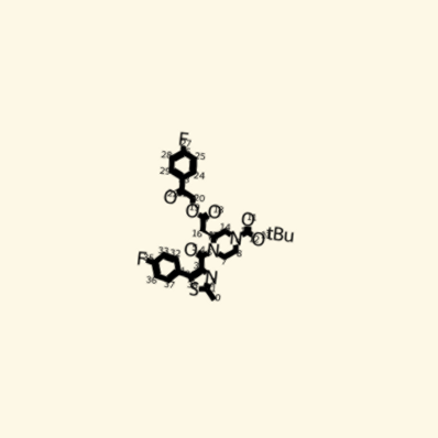 Cc1nc(C(=O)N2CCN(C(=O)OC(C)(C)C)C[C@@H]2CC(=O)OCC(=O)c2ccc(F)cc2)c(-c2ccc(F)cc2)s1